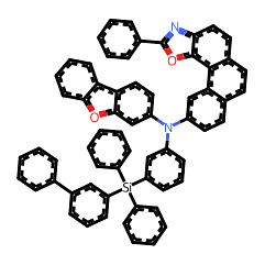 c1ccc(-c2cccc([Si](c3ccccc3)(c3ccccc3)c3cccc(N(c4ccc5c(c4)oc4ccccc45)c4ccc5ccc6ccc7nc(-c8ccccc8)oc7c6c5c4)c3)c2)cc1